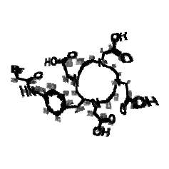 O=C(O)CN1CCN(CC(=O)O)CCN(CC(=O)O)C(Cc2ccc(NC(=O)CBr)cc2)CN(CC(=O)O)CC1